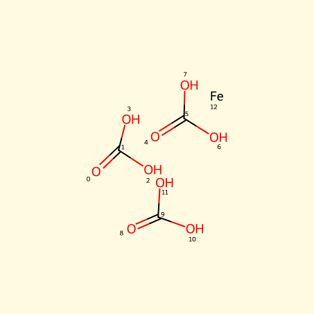 O=C(O)O.O=C(O)O.O=C(O)O.[Fe]